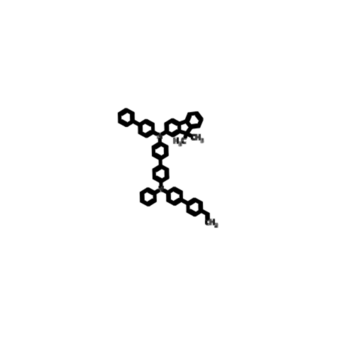 C=Cc1ccc(-c2ccc(N(c3ccccc3)c3ccc(-c4ccc(N(c5ccc(-c6ccccc6)cc5)c5ccc6c(c5)C(C)(C)c5ccccc5-6)cc4)cc3)cc2)cc1